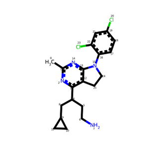 Cc1nc(C(CCN)CC2CC2)c2c(n1)N(c1ccc(Cl)cc1Cl)CC2